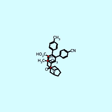 Cc1ccc(-c2ccc(C(=O)N3C4CCC3CC(CC(C)(C)NC(=O)O)C4)cc2-c2ccc(C#N)cc2)cc1